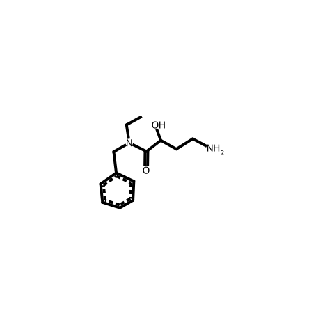 CCN(Cc1ccccc1)C(=O)C(O)CCN